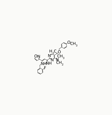 C=Nc1nc(C(=N)/C=C(\NCc2ccccc2F)c2ccon2)ncc1C(C)(C)OCc1ccc(OC)cc1